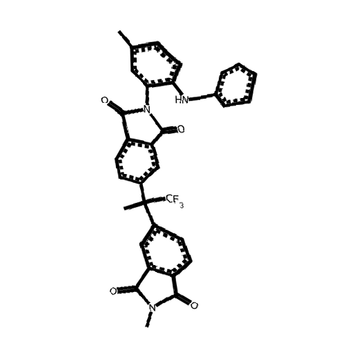 Cc1ccc(Nc2ccccc2)c(N2C(=O)c3ccc(C(C)(c4ccc5c(c4)C(=O)N(C)C5=O)C(F)(F)F)cc3C2=O)c1